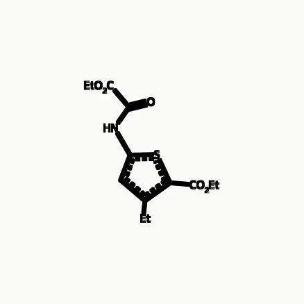 CCOC(=O)C(=O)Nc1cc(CC)c(C(=O)OCC)s1